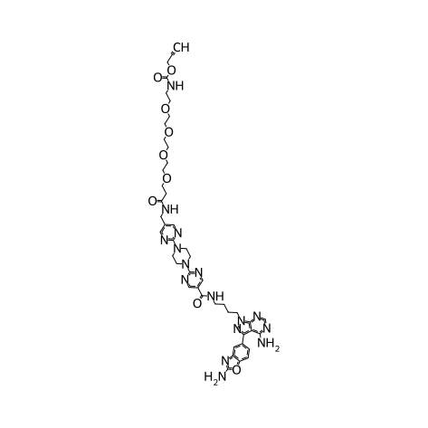 C#CCOC(=O)NCCOCCOCCOCCOCCC(=O)NCc1cnc(N2CCN(c3ncc(C(=O)NCCCCn4nc(-c5ccc6oc(N)nc6c5)c5c(N)ncnc54)cn3)CC2)nc1